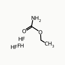 CCOC(N)=O.F.F.F